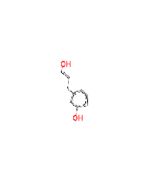 OC=CCc1cccc(O)c1